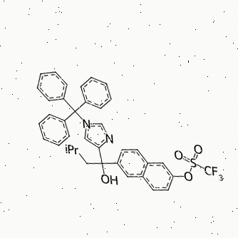 CC(C)CC(O)(c1ccc2cc(OS(=O)(=O)C(F)(F)F)ccc2c1)c1cn(C(c2ccccc2)(c2ccccc2)c2ccccc2)cn1